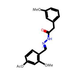 COc1cccc(CC(=O)N/N=C/c2ccc(OC(C)=O)cc2OC)c1